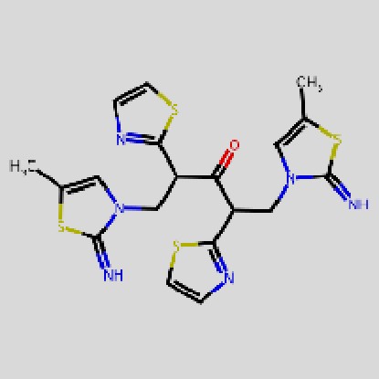 Cc1cn(CC(C(=O)C(Cn2cc(C)sc2=N)c2nccs2)c2nccs2)c(=N)s1